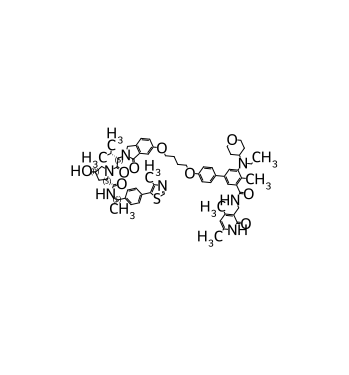 CCN(c1cc(-c2ccc(OCCCCOc3ccc4c(c3)C(=O)N([C@H](C(=O)N3C[C@H](O)C[C@H]3C(=O)N[C@@H](C)c3ccc(-c5scnc5C)cc3)C(C)C)C4)cc2)cc(C(=O)NCc2c(C)cc(C)[nH]c2=O)c1C)C1CCOCC1